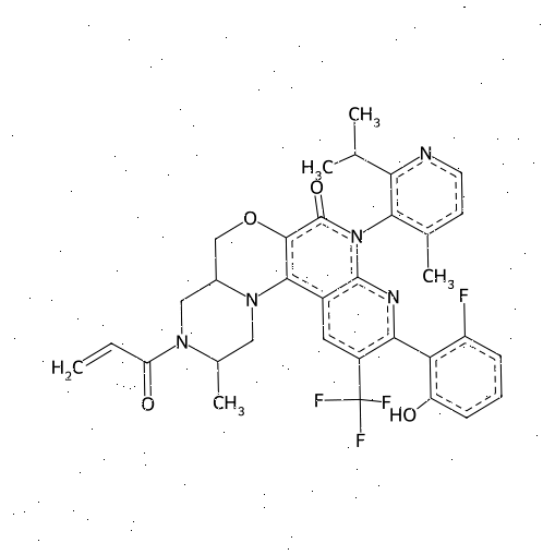 C=CC(=O)N1CC2COc3c(c4cc(C(F)(F)F)c(-c5c(O)cccc5F)nc4n(-c4c(C)ccnc4C(C)C)c3=O)N2CC1C